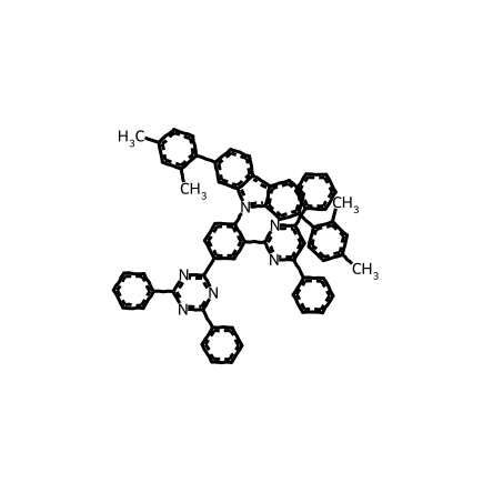 Cc1ccc(-c2ccc3c4ccc(-c5ccc(C)cc5C)cc4n(-c4ccc(-c5nc(-c6ccccc6)nc(-c6ccccc6)n5)cc4-c4nc(-c5ccccc5)cc(-c5ccccc5)n4)c3c2)c(C)c1